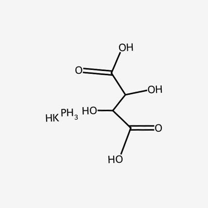 O=C(O)C(O)C(O)C(=O)O.P.[KH]